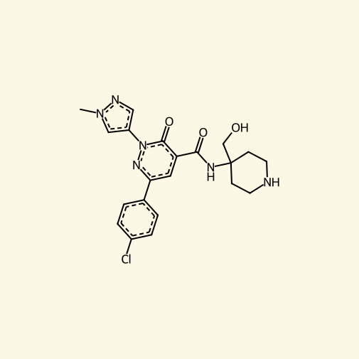 Cn1cc(-n2nc(-c3ccc(Cl)cc3)cc(C(=O)NC3(CO)CCNCC3)c2=O)cn1